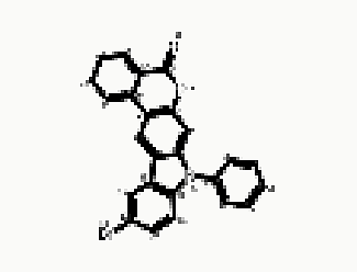 O=c1oc2cc3c(cc2c2c1=CCCC=2)c1cc(Br)ccc1n3-c1ccccc1